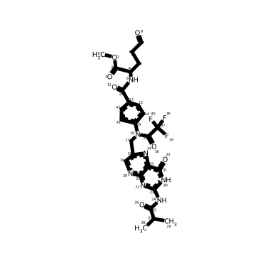 COC(=O)C(CCC=O)NC(=O)c1ccc(N(Cc2cnc3nc(NC(=O)C(C)C)[nH]c(=O)c3n2)C(=O)C(F)(F)F)cc1